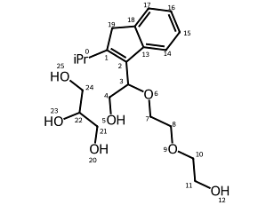 CC(C)C1=C(C(CO)OCCOCCO)c2ccccc2C1.OCC(O)CO